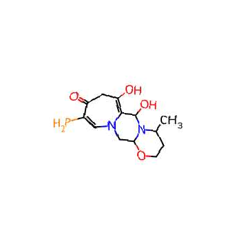 CC1CCOC2CN3C=C(P)C(=O)CC(O)=C3C(O)N12